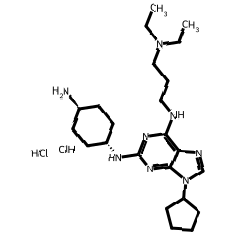 CCN(CC)CCCNc1nc(N[C@H]2CC[C@H](N)CC2)nc2c1ncn2C1CCCC1.Cl.Cl